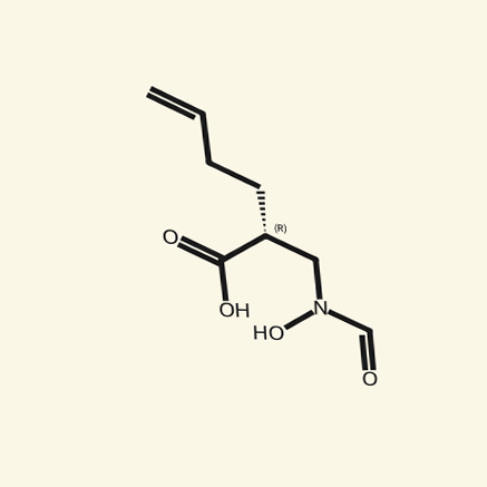 C=CCC[C@H](CN(O)C=O)C(=O)O